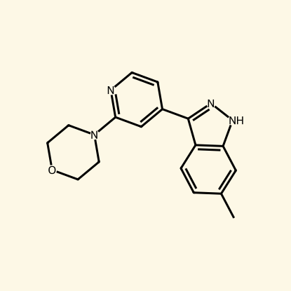 Cc1ccc2c(-c3ccnc(N4CCOCC4)c3)n[nH]c2c1